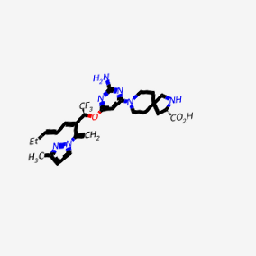 C=C(/C(=C\C=C\CC)[C@@H](Oc1cc(N2CCC3(CC2)CN[C@H](C(=O)O)C3)nc(N)n1)C(F)(F)F)n1ccc(C)n1